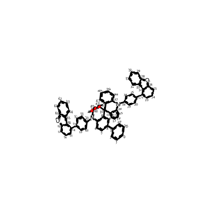 c1ccc(-c2ccc3c(c2)C2(c4ccccc4N(c4ccc(-c5cccc6oc7ccccc7c56)cc4)c4ccccc42)c2ccccc2N3c2ccc(-c3cccc4oc5ccccc5c34)cc2)cc1